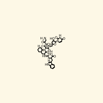 CC(C(NC(=O)C(CC1CCCCC1)NC(=O)NC(Cc1c[nH]c2ccccc12)C(=O)O)C(=O)NC[C@H]1C[C@@H](O)[C@H](n2ccc(=O)[nH]c2=O)O1)N(C)C(=O)CN